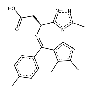 Cc1ccc(C2=N[C@@H](CC(=O)O)c3nnc(C)n3-c3sc(C)c(C)c32)cc1